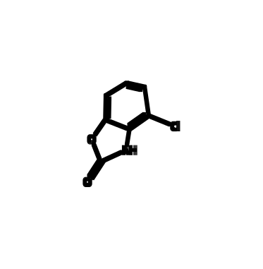 O=c1[nH]c2c(Cl)cccc2o1